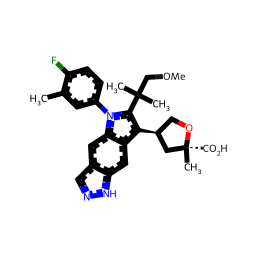 COCC(C)(C)c1c([C@H]2CO[C@](C)(C(=O)O)C2)c2cc3[nH]ncc3cc2n1-c1ccc(F)c(C)c1